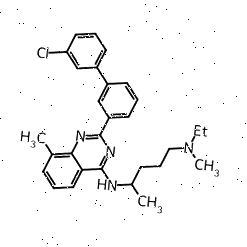 CCN(C)CCCC(C)Nc1nc(-c2cccc(-c3cccc(Cl)c3)c2)nc2c(C)cccc12